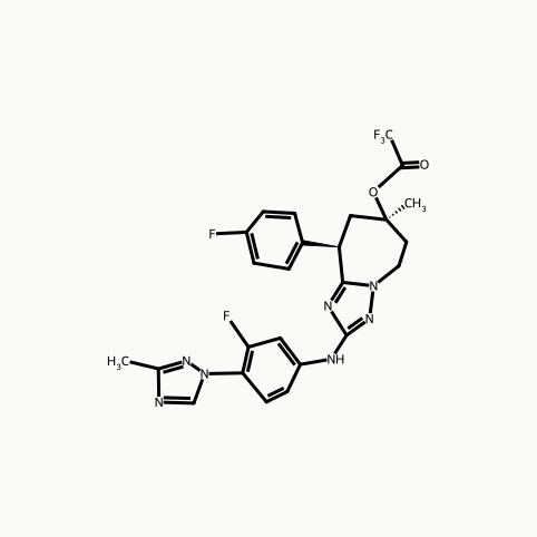 Cc1ncn(-c2ccc(Nc3nc4n(n3)CC[C@](C)(OC(=O)C(F)(F)F)C[C@@H]4c3ccc(F)cc3)cc2F)n1